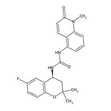 Cn1c(=O)ccc2c(NC(=O)N[C@H]3CC(C)(C)Oc4ccc(F)cc43)cccc21